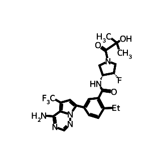 CCc1ccc(-c2cc(C(F)(F)F)c3c(N)ncnn23)cc1C(=O)N[C@@H]1CN(C(=O)C(C)(C)O)C[C@@H]1F